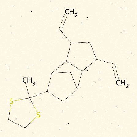 C=CC1CC(C=C)C2C3CC(CC3C3(C)SCCS3)C12